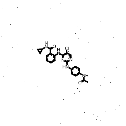 CC(=O)Nc1ccc(Nc2ncc(Cl)c(Nc3ccccc3C(=O)NC3CC3)n2)cc1